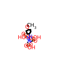 COc1ccc(N=NN(CS(=O)(=O)O)CS(=O)(=O)O)c(S(=O)(=O)O)c1